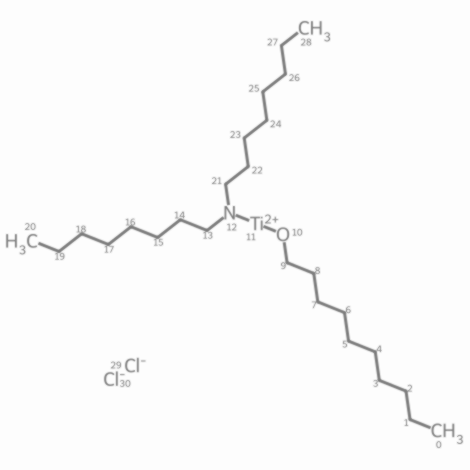 CCCCCCCCCC[O][Ti+2][N](CCCCCCCC)CCCCCCCC.[Cl-].[Cl-]